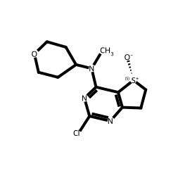 CN(c1nc(Cl)nc2c1[S@+]([O-])CC2)C1CCOCC1